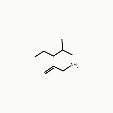 C=CCN.CCCC(C)C